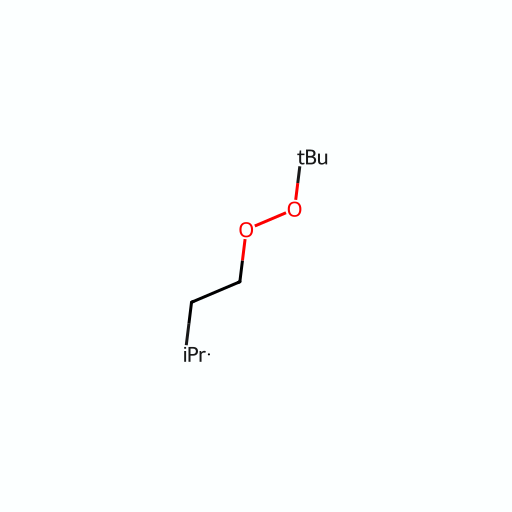 C[C](C)CCOOC(C)(C)C